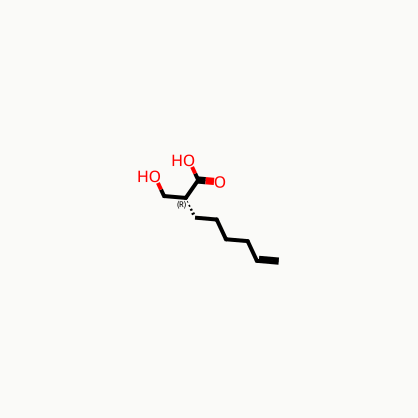 C=CCCCC[C@H](CO)C(=O)O